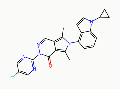 Cc1c2cnn(-c3ncc(F)cn3)c(=O)c2c(C)n1-c1cccc2c1ccn2C1CC1